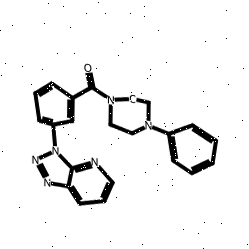 O=C(c1cccc(-n2nnc3cccnc32)c1)N1CCN(c2ccccc2)CC1